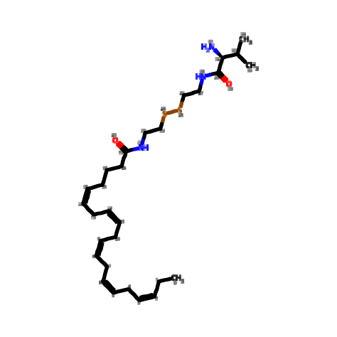 CC/C=C\C/C=C\C/C=C\C/C=C\C/C=C\CCCC(=O)NCCSSCCNC(=O)[C@@H](N)C(C)C